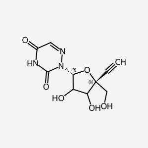 C#C[C@]1(CO)O[C@@H](n2ncc(=O)[nH]c2=O)C(O)C1O